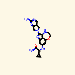 NC(=O)[C@@H](Nc1cc2c3c(c(N4Cc5cnc(N)nc5C4)[nH]c3c1)NCCO2)C1CC1